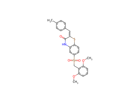 COc1cccc(OC)c1CS(=O)(=O)c1ccc2c(c1)NC(=O)/C(=C\c1ccc(C)cc1)S2